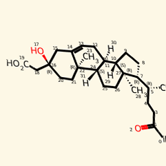 CC(C)C(=O)CC[C@@H](C)[C@H]1CC[C@H]2[C@@H]3CC=C4C[C@@](O)(CC(=O)O)CC[C@]4(C)[C@H]3CC[C@]12C